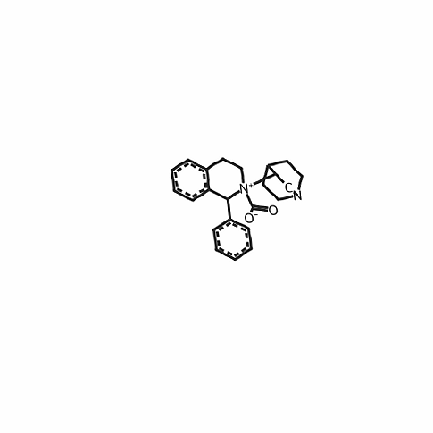 O=C([O-])[N+]1(C2CN3CCC2CC3)CCc2ccccc2C1c1ccccc1